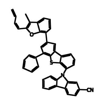 C=C/C=C\c1oc2c(-c3cc(-c4ccccc4)c4sc5c(-n6c7ccccc7c7ccc(C#N)cc76)cccc5c4c3)cccc2c1C